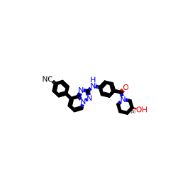 N#Cc1ccc(-c2cccn3nc(Nc4ccc(C(=O)N5CCC[C@H](O)C5)cc4)nc23)cc1